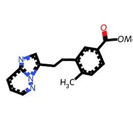 COC(=O)c1ccc(C)c(CCc2cnc3cccnn23)c1